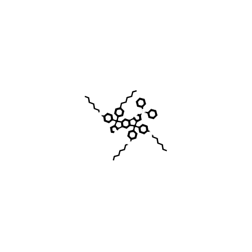 CCCCCCOc1ccc(C2(c3ccc(CCCCCC)cc3)c3cc4c(cc3-c3sccc32)C(c2ccc(OCCCCCC)cc2)(c2ccc(OCCCCCC)cc2)c2cc(N(c3ccccc3)c3ccccc3)sc2-4)cc1